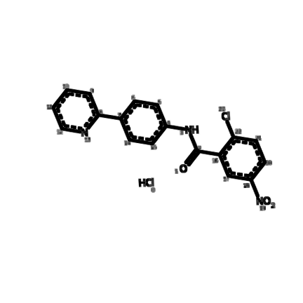 Cl.O=C(Nc1ccc(-c2ccccn2)cc1)c1cc([N+](=O)[O-])ccc1Cl